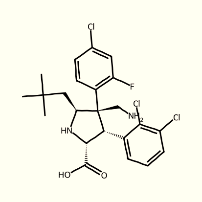 CC(C)(C)C[C@@H]1N[C@@H](C(=O)O)[C@@H](c2cccc(Cl)c2Cl)[C@@]1(CN)c1ccc(Cl)cc1F